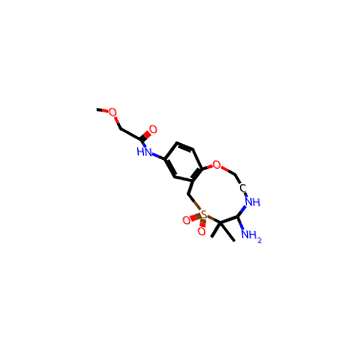 COCC(=O)Nc1ccc2c(c1)CS(=O)(=O)C(C)(C)C(N)NCCO2